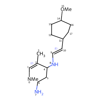 CN/C=C(/C)C(CCN)N/C=C/C1CCC(OC)CC1